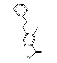 NC(=O)c1ccc(OCc2ccccc2)c(F)c1